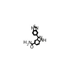 NC(=O)C1=CC2C(c3ccc4nsnc4c3)=NNC2C=C1